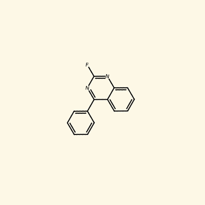 Fc1nc(-c2ccccc2)c2ccccc2n1